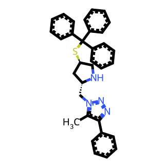 Cc1c(-c2ccccc2)nnn1C[C@@H]1C[C@@H](SC(c2ccccc2)(c2ccccc2)c2ccccc2)CN1